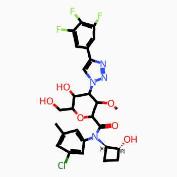 COC1C(C(=O)N(c2cc(C)cc(Cl)c2)[C@@H]2CC[C@H]2O)OC(CO)C(O)C1n1cc(-c2cc(F)c(F)c(F)c2)nn1